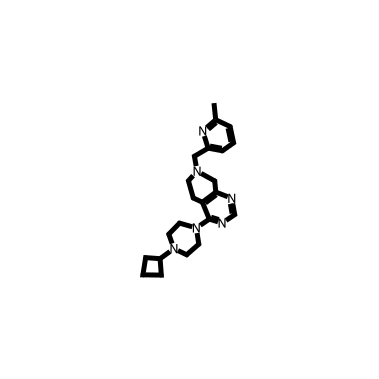 Cc1cccc(CN2CCc3c(ncnc3N3CCN(C4CCC4)CC3)C2)n1